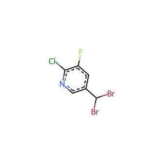 Fc1cc(C(Br)Br)cnc1Cl